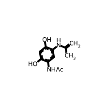 C=C(C)Nc1cc(NC(C)=O)c(O)cc1O